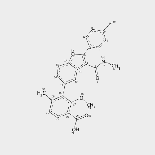 CNC(=O)c1c(-c2ccc(F)cc2)oc2ccc(-c3c(C)ccc(C(=O)O)c3OC)cc12